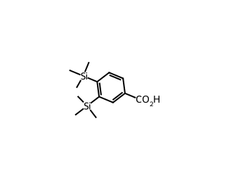 C[Si](C)(C)c1ccc(C(=O)O)cc1[Si](C)(C)C